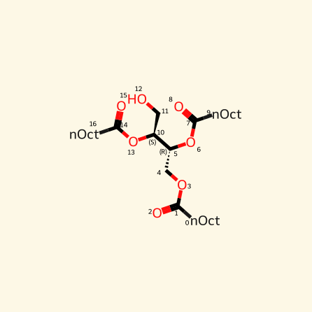 CCCCCCCCC(=O)OC[C@@H](OC(=O)CCCCCCCC)[C@H](CO)OC(=O)CCCCCCCC